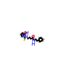 O=C(CCCNC(=S)N1CCCC1=O)NCCc1ccccc1